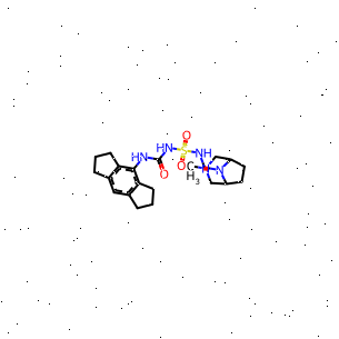 CN1CC2CCC(C1)N2CNS(=O)(=O)NC(=O)Nc1c2c(cc3c1CCC3)CCC2